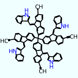 C#Cc1ccc2c(c1)/C(=C\c1c[nH]c3ccccc13)c1cc(C(c3ccc4c(c3)/C(=C/c3c[nH]c5ccccc35)c3cc(C#C)ccc3-4)(c3ccc4c(c3)/C(=C/c3c[nH]c5ccccc35)c3cc(C#C)ccc3-4)c3ccc4c(c3)/C(=C/c3c[nH]c5ccccc35)c3cc(C#C)ccc3-4)ccc1-2